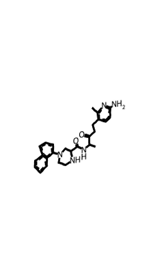 Cc1nc(N)ccc1CCC(=O)C(C)NC(=O)C1CN(c2cccc3ccccc23)CCN1